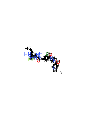 C#CCc1[nH]nc(C(F)(F)F)c1-c1cnc(C(=O)NCc2ccc(C(=O)N3CCN(C(=O)C4CCN(C)CC4)CC3)c(Cl)c2)[nH]1